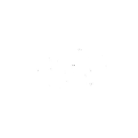 COC(=O)c1ccccc1C(=O)OC.O=C(O)c1cccc(Cl)c1C(=O)O